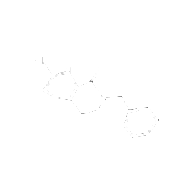 O=C1c2nc(Cl)ccc2CCN1Cc1ccccc1